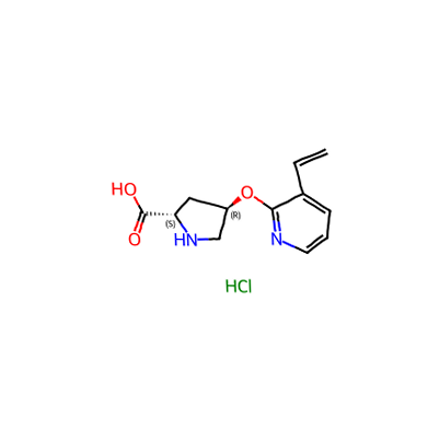 C=Cc1cccnc1O[C@H]1CN[C@H](C(=O)O)C1.Cl